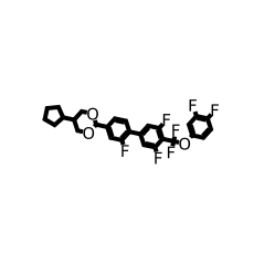 Fc1ccc(OC(F)(F)c2c(F)cc(-c3ccc(C4OCC(C5CCCC5)CO4)cc3F)cc2F)cc1F